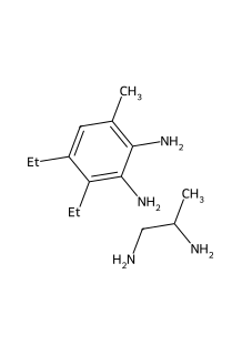 CC(N)CN.CCc1cc(C)c(N)c(N)c1CC